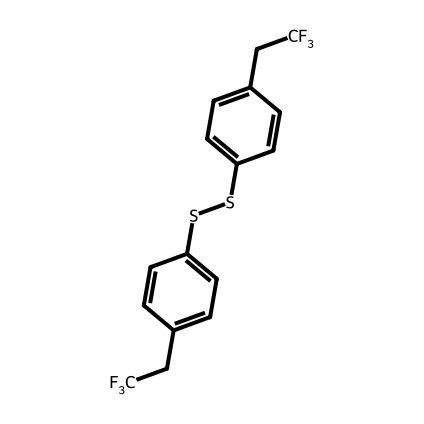 FC(F)(F)Cc1ccc(SSc2ccc(CC(F)(F)F)cc2)cc1